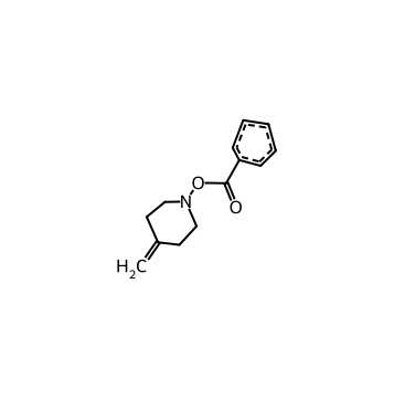 C=C1CCN(OC(=O)c2ccccc2)CC1